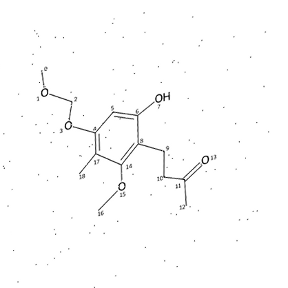 COCOc1cc(O)c(CCC(C)=O)c(OC)c1C